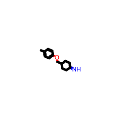 Cc1ccc(OCC2CCC(=N)CC2)cc1